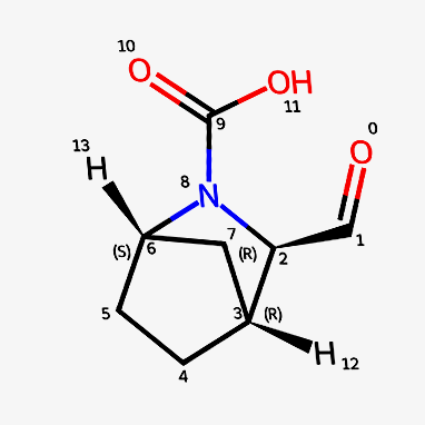 O=C[C@H]1[C@@H]2CC[C@@H](C2)N1C(=O)O